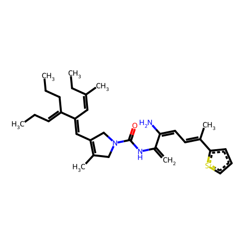 C=C(NC(=O)N1CC(C)=C(/C=C(\C=C(\C)CC)C(=C/CC)/CCC)C1)/C(N)=C\C=C(/C)c1cccs1